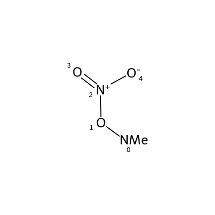 CNO[N+](=O)[O-]